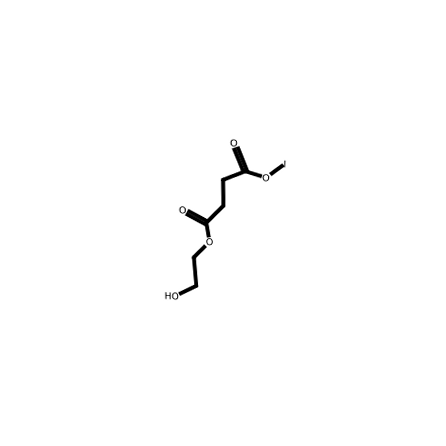 O=C(CCC(=O)OCCO)OI